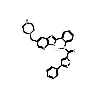 CN(C(=O)c1cc(-c2ccccc2)no1)c1ccccc1-c1nc2cc(CN3CCNCC3)cnc2s1